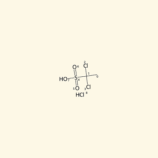 CC(Cl)(Cl)S(=O)(=O)O.Cl